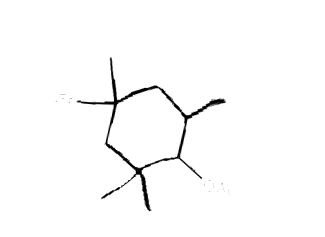 CCC1(C)CC(C)C(OC(C)=O)C(C)(C)C1